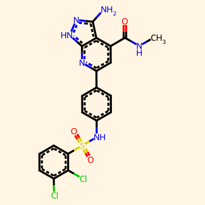 CNC(=O)c1cc(-c2ccc(NS(=O)(=O)c3cccc(Cl)c3Cl)cc2)nc2[nH]nc(N)c12